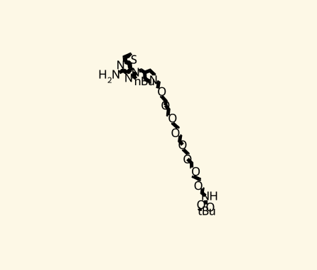 CCCCc1nc2c(N)nc3ccsc3c2n1CC1CCN(CCOCCOCCOCCOCCOCCOCCOCCOCCNC(=O)OC(C)(C)C)CC1